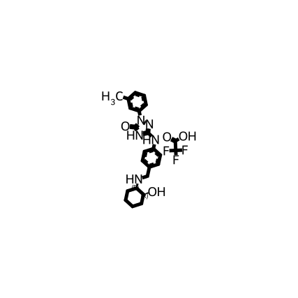 Cc1cccc(-n2nc(Nc3ccc(CN[C@@H]4CCCC[C@H]4O)cc3)[nH]c2=O)c1.O=C(O)C(F)(F)F